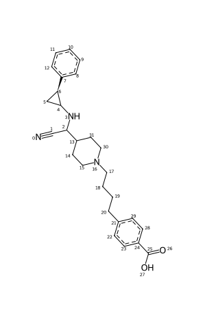 N#CC(NC1C[C@H]1c1ccccc1)C1CCN(CCCCc2ccc(C(=O)O)cc2)CC1